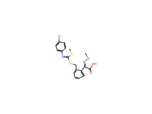 CON=C(C(=O)O)c1ccccc1CSC(=Nc1ccc(Cl)cc1)SC